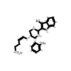 O=C(O)CC/C=C\C[C@@H]1COC(c2sc3ccccc3c2Br)O[C@@H]1c1ccccc1O